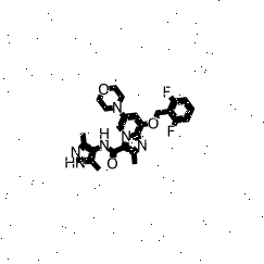 Cc1n[nH]c(C)c1NC(=O)c1c(C)nc2c(OCc3c(F)cccc3F)cc(N3CCOCC3)cn12